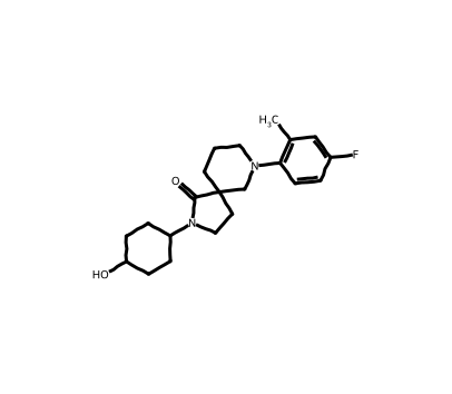 Cc1cc(F)ccc1N1CCCC2(CCN(C3CCC(O)CC3)C2=O)C1